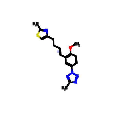 COc1ccc(-n2nnc(C)n2)cc1/C=C/CCc1csc(C)n1